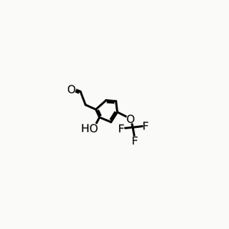 O=CCc1ccc(OC(F)(F)F)cc1O